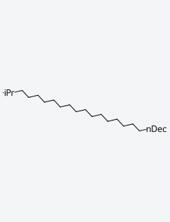 CCCCCCCCCCCCCCCCCCCCCCCCCC[C](C)C